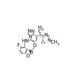 C=N/C=N\C(=C(/C)c1cc2c(n3cnnc13)NCc1c(F)ccc3c1[C@H](CO3)CO2)C1CC1